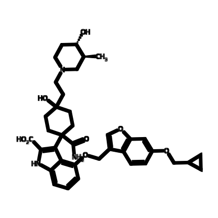 C[C@H]1CN(CCC2(O)CCC(C(N)=O)(c3c(C(=O)O)[nH]c4cccc(OCc5coc6cc(OCC7CC7)ccc56)c34)CC2)CC[C@@H]1O